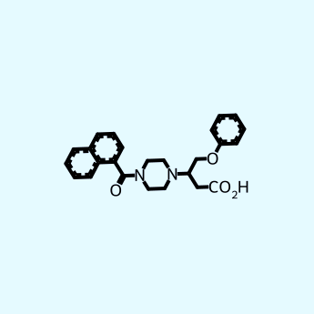 O=C(O)CC(COc1ccccc1)N1CCN(C(=O)c2cccc3ccccc23)CC1